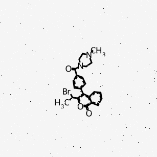 CC(Br)c1oc(=O)c2ccccc2c1-c1ccc(C(=O)N2CCN(C)CC2)cc1